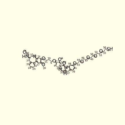 COC1=CC2(CC=C1OCCCOc1cc3c(cc1OC)-c1ccccc1CC(NC=O)/C=N\3)N=C[C@@H]1Cc3ccc(OCCOCCOCCOCCOCCS)cc3N1C2=O